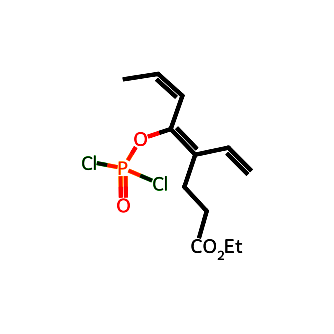 C=C/C(CCC(=O)OCC)=C(\C=C/C)OP(=O)(Cl)Cl